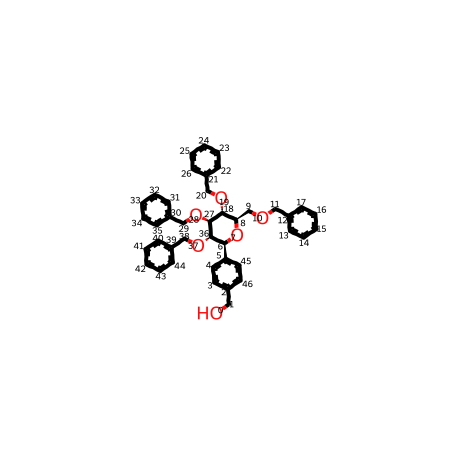 OCc1ccc([C@@H]2O[C@H](COCc3ccccc3)[C@@H](OCc3ccccc3)[C@H](OCc3ccccc3)[C@H]2OCc2ccccc2)cc1